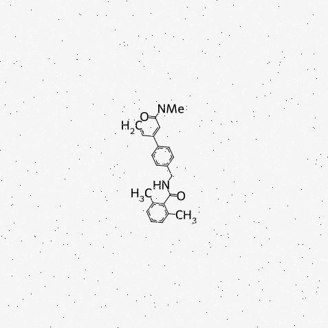 C=C/C(=C\C(=O)NC)c1ccc(CNC(=O)c2c(C)cccc2C)cc1